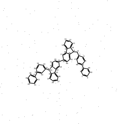 c1ccc(-c2ccc(CC3c4ccccc4-c4cc(-c5ccc6c(c5)c5ccccc5n6-c5cccc(-c6ccccc6)c5)ccc43)cc2)cc1